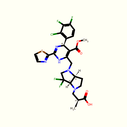 COC(=O)C1=C(CN2CC(F)(F)[C@H]3[C@@H]2CCN3C[C@H](C)C(=O)O)NC(c2nccs2)=N[C@H]1c1ccc(F)c(F)c1Cl